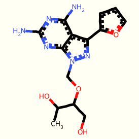 CC(O)C(CO)OCn1nc(-c2ccco2)c2c(N)nc(N)nc21